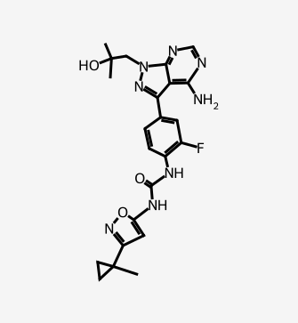 CC(C)(O)Cn1nc(-c2ccc(NC(=O)Nc3cc(C4(C)CC4)no3)c(F)c2)c2c(N)ncnc21